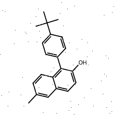 Cc1ccc2c(-c3ccc(C(C)(C)C)cc3)c(O)ccc2c1